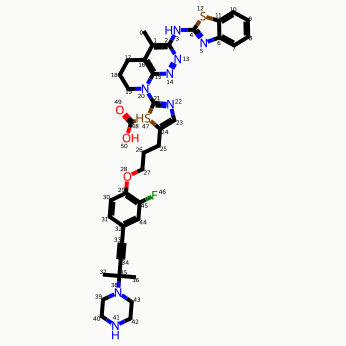 Cc1c(Nc2nc3ccccc3s2)nnc2c1CCCN2C1=NC=C(CCCOc2ccc(C#CC(C)(C)N3CCNCC3)cc2F)[SH]1C(=O)O